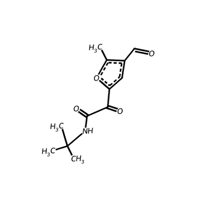 Cc1oc(C(=O)C(=O)NC(C)(C)C)cc1C=O